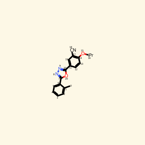 Cc1ccccc1-c1nnc(-c2ccc(OC(C)C)c(C#N)c2)o1